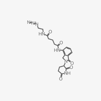 [N-]=[N+]=NCCNC(=O)CCCC(=O)Nc1cccc2c1CN(C1CCC(=O)NC1=O)C2=O